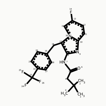 CC(C)(C)CC(=O)Nc1nc2ccc(F)cn2c1Cc1ccc(C(F)(F)F)cc1